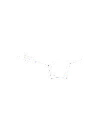 [C-]#[N+]c1cnc(Cl)s1